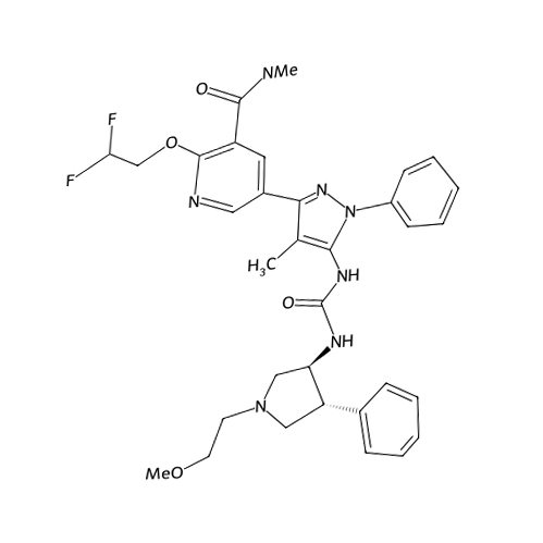 CNC(=O)c1cc(-c2nn(-c3ccccc3)c(NC(=O)N[C@@H]3CN(CCOC)C[C@H]3c3ccccc3)c2C)cnc1OCC(F)F